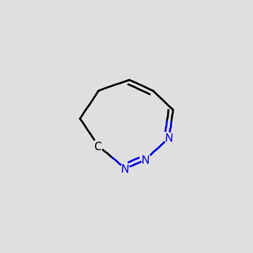 C1=CCCCN=NN=C1